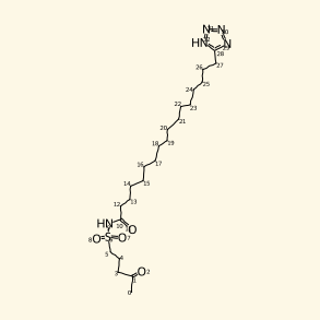 CC(=O)CCCS(=O)(=O)NC(=O)CCCCCCCCCCCCCCCCc1nnn[nH]1